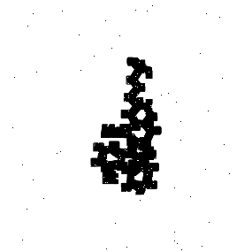 C=C(C)CCCC1CCC(Cn2nc(-c3ccccc3)c(-c3cccc(CC)c3)c2SC)CC1